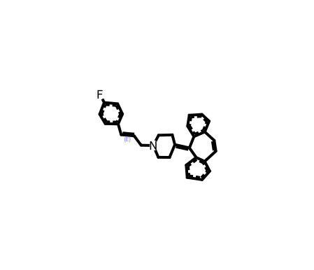 Fc1ccc(/C=C/CN2CCC(=C3c4ccccc4C=Cc4ccccc43)CC2)cc1